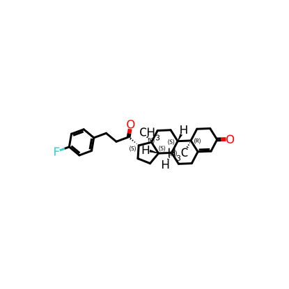 C[C@]12CC[C@H]3[C@@H](CCC4=CC(=O)CC[C@@]43C)[C@@H]1CC[C@@H]2C(=O)CCc1ccc(F)cc1